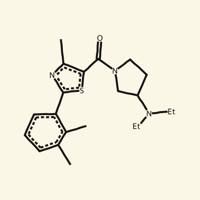 CCN(CC)C1CCN(C(=O)c2sc(-c3cccc(C)c3C)nc2C)C1